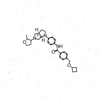 CC1OCCC1N1C[C@H]2CCN(c3ccc(NC(=O)c4ccc(COC5CCC5)cc4)cc3)[C@H]2C1